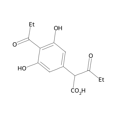 CCC(=O)c1c(O)cc(C(C(=O)O)C(=O)CC)cc1O